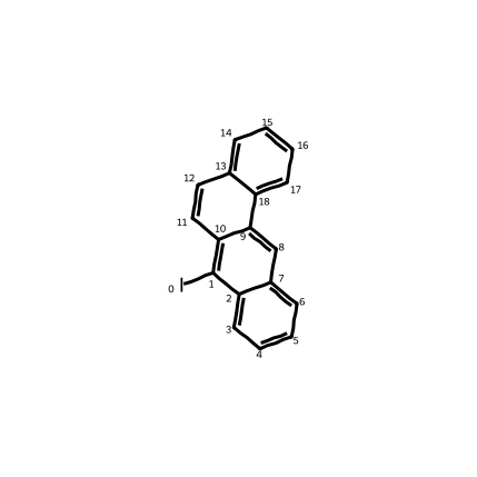 Ic1c2ccccc2cc2c1ccc1ccccc12